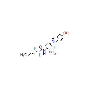 CCCC[C@@H](F)[C@H](F)C(=O)Nc1ccc(NCc2ccc(O)cc2)c(F)c1N